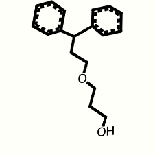 OCCCOCCC(c1ccccc1)c1ccccc1